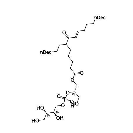 CCCCCCCCCCCCCC=CC(=O)C(CCCCCCCCCCCC)CCCCC(=O)OC[C@H](CO)OP(=O)(O)OC[C@@H](O)[C@H](O)CO